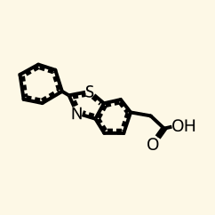 O=C(O)Cc1ccc2nc(-c3ccccc3)sc2c1